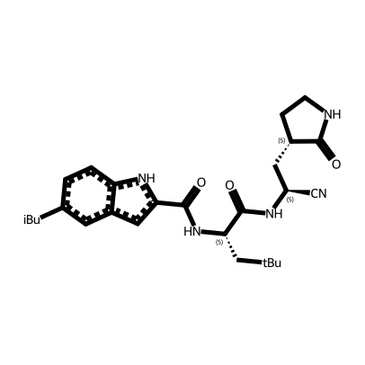 CCC(C)c1ccc2[nH]c(C(=O)N[C@@H](CC(C)(C)C)C(=O)N[C@H](C#N)C[C@@H]3CCNC3=O)cc2c1